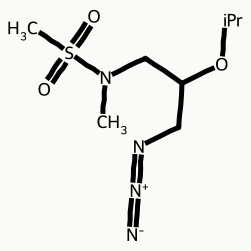 CC(C)OC(CN=[N+]=[N-])CN(C)S(C)(=O)=O